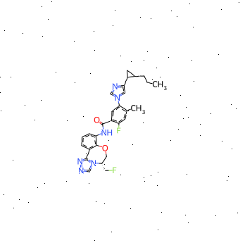 CCCC1CC1c1cn(-c2cc(C(=O)Nc3cccc4c3OC[C@H](CF)n3cnnc3-4)c(F)cc2C)cn1